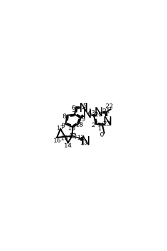 Cc1cc(-n2ncc3ccc([C@]4(C#N)CC45CC5)cc32)nc(C)n1